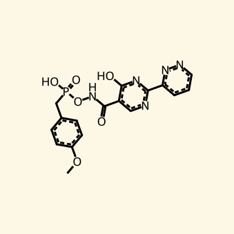 COc1ccc(CP(=O)(O)ONC(=O)c2cnc(-c3cccnn3)nc2O)cc1